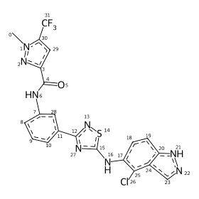 Cn1nc(C(=O)Nc2cccc(-c3nsc(Nc4ccc5[nH]ncc5c4Cl)n3)c2)cc1C(F)(F)F